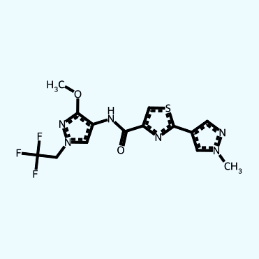 COc1nn(CC(F)(F)F)cc1NC(=O)c1csc(-c2cnn(C)c2)n1